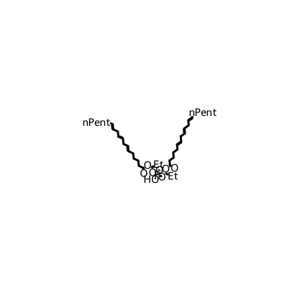 CCCCCC=CCC=CCC=CCCCCC(=O)OC(CC)OP(=O)(O)OC(CC)OC(=O)CCCCC=CCC=CCC=CCCCCC